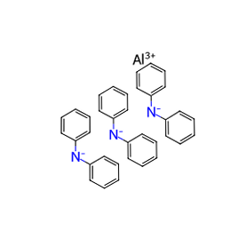 [Al+3].c1ccc([N-]c2ccccc2)cc1.c1ccc([N-]c2ccccc2)cc1.c1ccc([N-]c2ccccc2)cc1